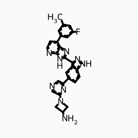 Cc1cc(F)cc(-c2ccnc3[nH]c(-c4n[nH]c5ccc(-c6cncc(N7CC(N)C7)n6)cc45)nc23)c1